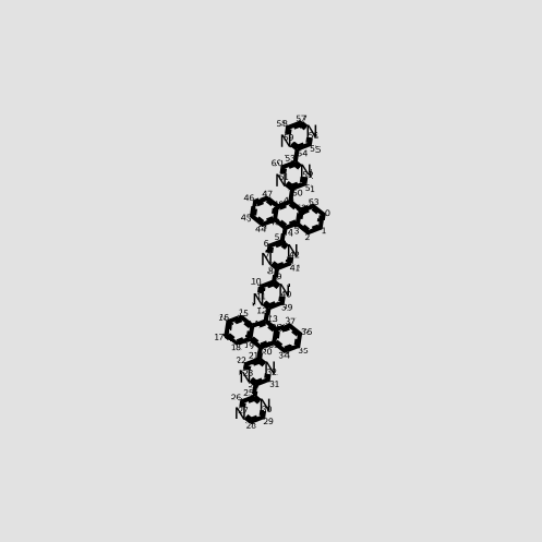 c1ccc2c(-c3cnc(-c4cnc(-c5c6ccccc6c(-c6cnc(-c7cnccn7)cn6)c6ccccc56)cn4)cn3)c3ccccc3c(-c3cnc(-c4cnccn4)cn3)c2c1